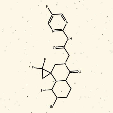 O=C(CN1CC2(CC2(F)F)C2C(CCC(Br)C2F)C1=O)Nc1ncc(F)cn1